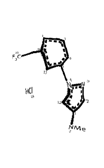 CNc1cnn(-c2cccc(C(F)(F)F)c2)c1.Cl